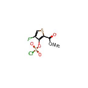 COC(=O)c1scc(F)c1OS(=O)(=O)Cl